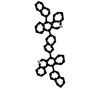 c1ccc2cc(-c3c4ccccc4c(-c4ccc5cc(-c6c7ccccc7c(-c7ccc8ccccc8c7)c7c6cnc6ccccc67)ccc5c4)c4cnc5ccccc5c34)ccc2c1